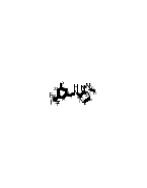 Cc1cc(CNc2nccn3c(C)nnc23)cc(C(F)(F)F)c1